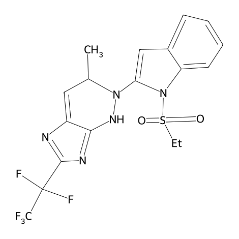 CCS(=O)(=O)n1c(N2NC3=NC(C(F)(F)C(F)(F)F)=NC3=CC2C)cc2ccccc21